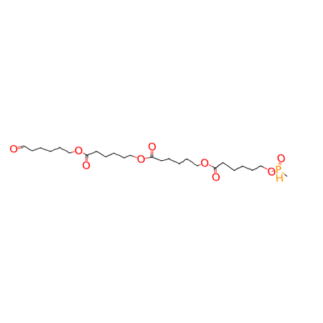 C[PH](=O)OCCCCCC(=O)OCCCCCC(=O)OCCCCCC(=O)OCCCCCC=O